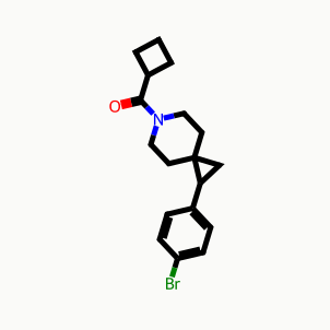 O=C(C1CCC1)N1CCC2(CC1)CC2c1ccc(Br)cc1